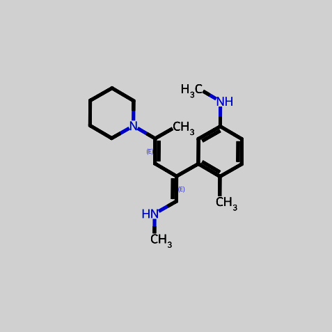 CN/C=C(\C=C(/C)N1CCCCC1)c1cc(NC)ccc1C